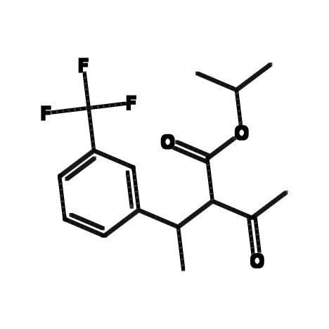 CC(=O)C(C(=O)OC(C)C)C(C)c1cccc(C(F)(F)F)c1